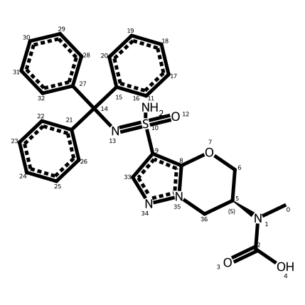 CN(C(=O)O)[C@@H]1COc2c(S(N)(=O)=NC(c3ccccc3)(c3ccccc3)c3ccccc3)cnn2C1